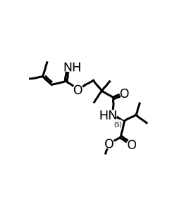 COC(=O)[C@@H](NC(=O)C(C)(C)COC(=N)C=C(C)C)C(C)C